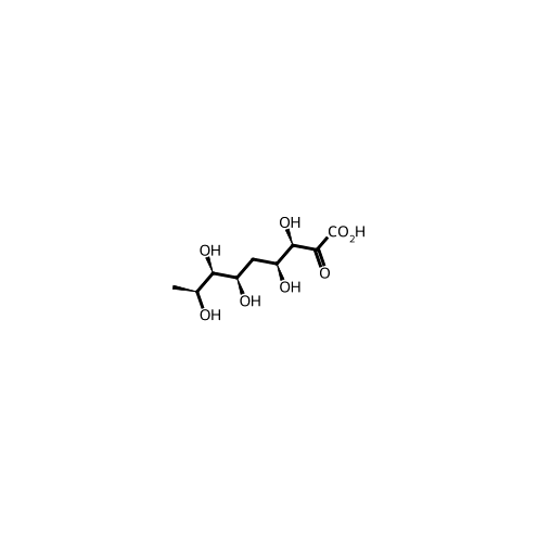 C[C@H](O)[C@@H](O)[C@H](O)C[C@H](O)[C@@H](O)C(=O)C(=O)O